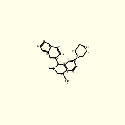 CN1CC(O)c2ccc(N3CCOCC3)cc2C1c1ccc2ccccc2c1